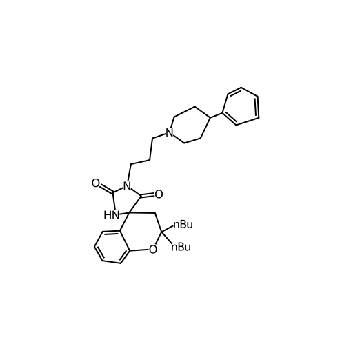 CCCCC1(CCCC)CC2(NC(=O)N(CCCN3CCC(c4ccccc4)CC3)C2=O)c2ccccc2O1